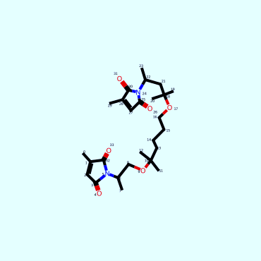 CC1=CC(=O)N(C(C)COC(C)(C)CCCCOC(C)(C)CC(C)N2C(=O)C=C(C)C2=O)C1=O